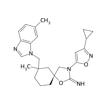 Cc1ccc2ncn(CC3(C)CCC[C@]4(CN(c5cc(C6CC6)no5)C(=N)O4)C3)c2c1